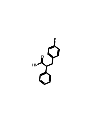 [NH]C(=O)C(Cc1ccc(F)cc1)c1ccccc1